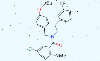 CNc1ccc(Cl)cc1C(=O)N(CCc1cccc(C(F)(F)F)c1)Cc1ccc(OC(C)(C)C)cc1